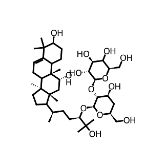 C[C@H](CC[C@@H](O[C@@H]1O[C@H](CO)C[C@H](O)[C@H]1O[C@@H]1O[C@H](CO)C(O)[C@H](O)[C@H]1O)C(C)(C)O)C1CC[C@@]2(C)C3CC=C4C(CC[C@H](O)C4(C)C)[C@]3(C)[C@H](O)C[C@]12C